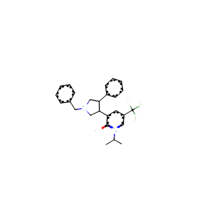 CC(C)n1cc(C(F)(F)F)cc(C2CN(Cc3ccccc3)CC2c2ccccc2)c1=O